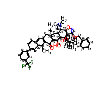 Cc1c2c(cc3ccc(-c4cccc(C(F)(F)F)c4)cc13)C[C@H]1C[C@H]3[C@H](N(C)C)c4onc(OCc5ccccc5)c4C(=O)[C@@]3(O[Si](C)(C)C(C)(C)C)C(O)=C1C2=O